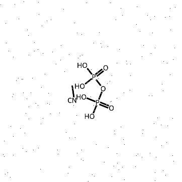 CC#N.O=P(O)(O)OP(=O)(O)O